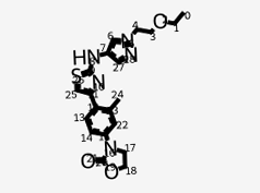 CCOCCn1cc(Nc2nc(-c3ccc(N4CCOC4=O)cc3C)cs2)cn1